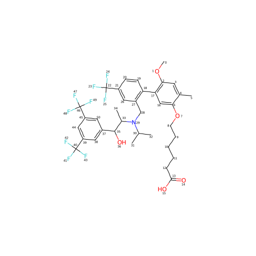 COc1cc(C)c(OCCCCCC(=O)O)cc1-c1ccc(C(F)(F)F)cc1CN(C(C)C)C(C)C(O)c1cc(C(F)(F)F)cc(C(F)(F)F)c1